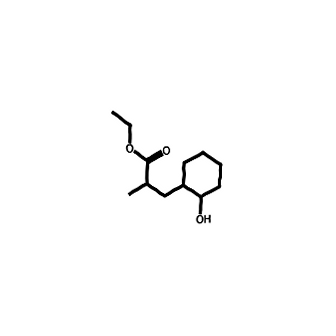 CCOC(=O)C(C)CC1CCCCC1O